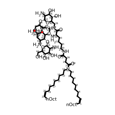 CCCCCCCC/C=C\CCCCCCCCN(CCCCCCCC/C=C\CCCCCCCC)C(=O)CCC(=O)NCCCC[C@H](N)C(=O)NCC1O[C@H](OC(CO)[C@@H](CO)OCOC2C(O)[C@H](N)CC(N)[C@H]2O[C@H]2OC(CO)[C@@H](O)C(O)C2N)C(N)C(O)[C@@H]1O